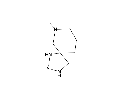 CN1CCCC2(CNSN2)C1